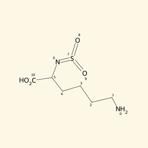 NCCCCC(N=S(=O)=O)C(=O)O